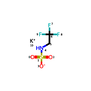 O=S(=O)([O-])NCC(F)(F)F.[K+]